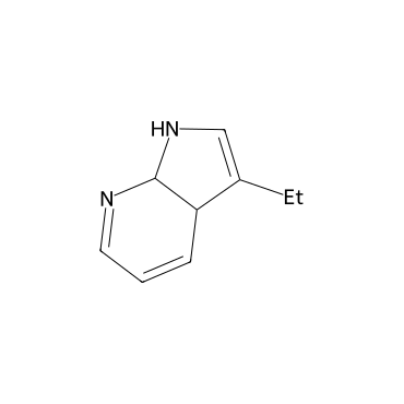 CCC1=CNC2N=CC=CC12